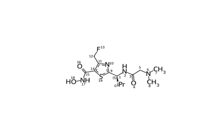 CC(C)[C@H](NC(=O)CN(C)C)c1nc(CF)c(C(=O)NO)s1